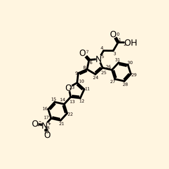 O=C(O)CCN1C(=O)C(=Cc2ccc(-c3ccc([N+](=O)[O-])cc3)o2)C=C1c1ccccc1